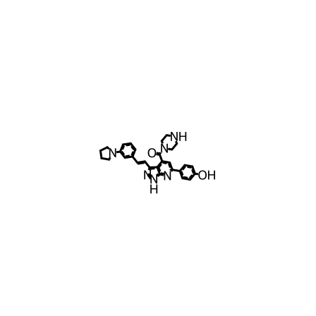 O=C(c1cc(-c2ccc(O)cc2)nc2[nH]nc(C=Cc3cccc(N4CCCC4)c3)c12)N1CCNCC1